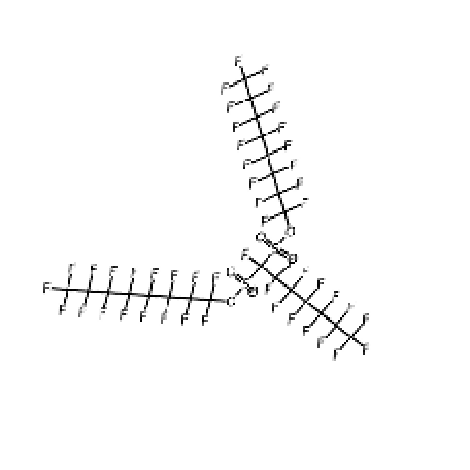 O=S(=O)(OC(F)(F)C(F)(F)C(F)(F)C(F)(F)C(F)(F)C(F)(F)C(F)(F)C(F)(F)F)C(F)(C(F)(F)C(F)(F)C(F)(F)C(F)(F)C(F)(F)C(F)(F)F)S(=O)(=O)OC(F)(F)C(F)(F)C(F)(F)C(F)(F)C(F)(F)C(F)(F)C(F)(F)C(F)(F)F